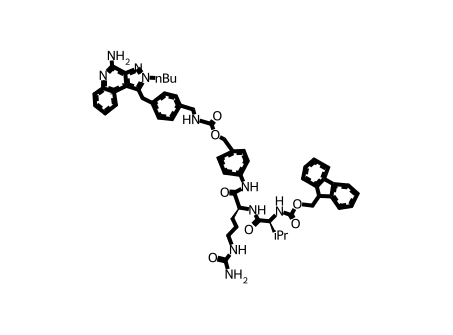 CCCCn1nc2c(N)nc3ccccc3c2c1Cc1ccc(CNC(=O)OCc2ccc(NC(=O)[C@H](CCCNC(N)=O)NC(=O)[C@@H](NC(=O)OCC3c4ccccc4-c4ccccc43)C(C)C)cc2)cc1